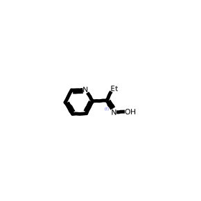 CC/C(=N\O)c1ccccn1